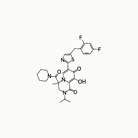 CC(C)N1CC(C)(C(=O)N2CCCCC2)n2cc(-c3ncc(Cc4ccc(F)cc4F)s3)c(=O)c(O)c2C1=O